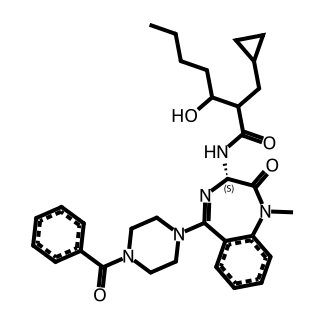 CCCCC(O)C(CC1CC1)C(=O)N[C@H]1N=C(N2CCN(C(=O)c3ccccc3)CC2)c2ccccc2N(C)C1=O